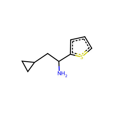 NC(CC1CC1)c1cccs1